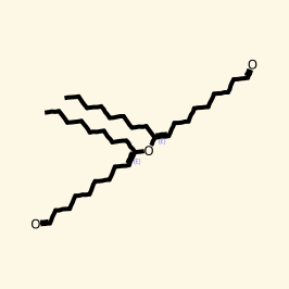 CCCCCCCC/C(=C\CCCCCCCC=O)O/C(=C/CCCCCCCC=O)CCCCCCCC